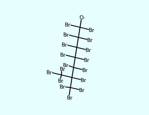 [O]C(Br)(Br)C(Br)(Br)C(Br)(Br)C(Br)(Br)C(Br)(Br)C(Br)(C(Br)(Br)Br)C(Br)(Br)Br